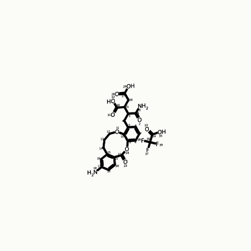 NC(=O)C(Cc1cccc2c1OCCCc1cc(N)ccc1C(=O)O2)C(CC(=O)O)C(=O)O.O=C(O)C(F)(F)F